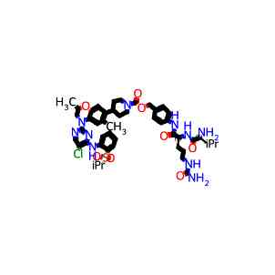 Cc1cc2c(cc1C1CCN(C(=O)OCc3ccc(NC(=O)[C@H](CCCNC(N)=O)NC(=O)[C@@H](N)C(C)C)cc3)CC1)OC(C)CN2c1ncc(Cl)c(Nc2ccccc2S(=O)(=O)C(C)C)n1